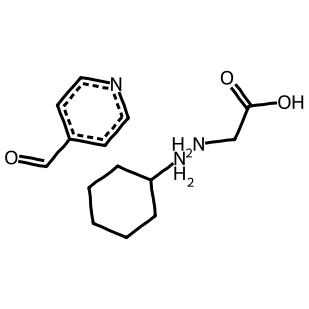 NC1CCCCC1.NCC(=O)O.O=Cc1ccncc1